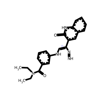 CCN(CC)C(=O)c1cccc(N/C=C(\N=N)c2cc3ccccc3[nH]c2=O)c1